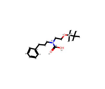 CC(C)(C)[Si](C)(C)OCCN(CCCc1ccccc1)C(=O)O